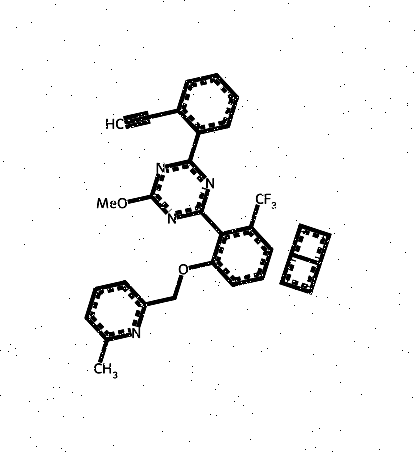 C#Cc1ccccc1-c1nc(OC)nc(-c2c(OCc3cccc(C)n3)cccc2C(F)(F)F)n1.c1cc2ccc1-2